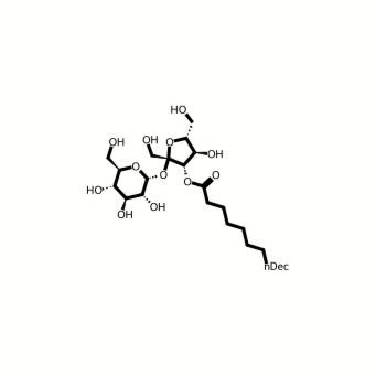 CCCCCCCCCCCCCCCCC(=O)O[C@H]1[C@H](O)[C@@H](CO)O[C@@]1(CO)O[C@H]1O[C@H](CO)[C@@H](O)[C@H](O)[C@H]1O